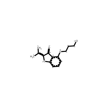 CC(C)=C1Oc2cccc(OCCCCl)c2C1=O